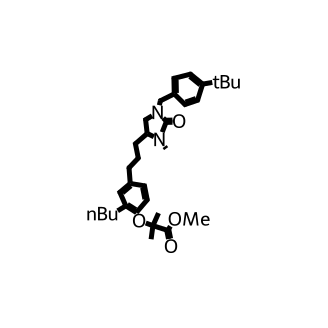 CCCCc1cc(CCCC2CN(Cc3ccc(C(C)(C)C)cc3)C(=O)N2C)ccc1OC(C)(C)C(=O)OC